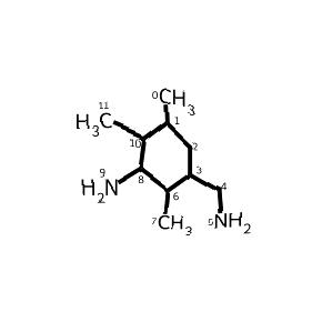 CC1CC(CN)C(C)C(N)C1C